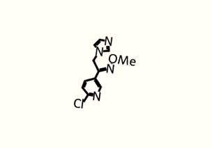 CO/N=C(\Cn1ccnc1)c1ccc(Cl)nc1